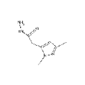 Cc1cc(CC(=O)NN)n(C)n1